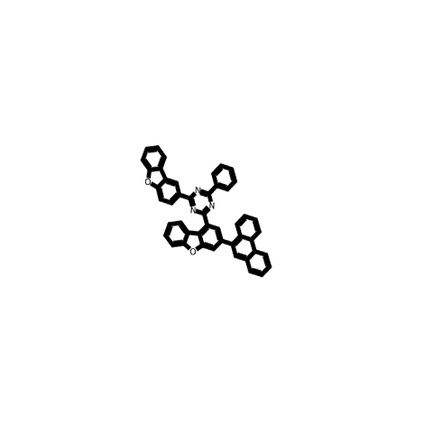 C1=CC2=CC(c3cc(-c4nc(-c5ccccc5)nc(-c5ccc6oc7ccccc7c6c5)n4)c4c(c3)oc3ccccc34)=C3C=CC=CC3C2C=C1